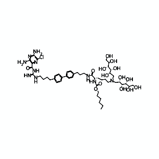 CCCCCCOC(=O)N[C@@H](CCCCN(C[C@H](O)[C@@H](O)[C@H](O)[C@H](O)CO)C[C@H](O)[C@@H](O)[C@H](O)[C@H](O)CO)C(=O)NCCCc1ccc(-c2ccc(CCCCNC(=N)NC(=O)c3nc(Cl)c(N)nc3N)cc2)cc1